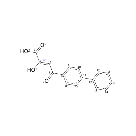 O=C(O)/C(O)=C/C(=O)c1ccc(-c2ccccc2)cc1